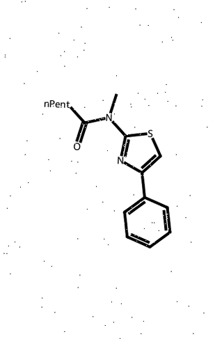 CCCCCC(=O)N(C)c1nc(-c2ccccc2)cs1